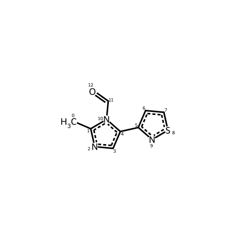 Cc1ncc(-c2ccsn2)n1C=O